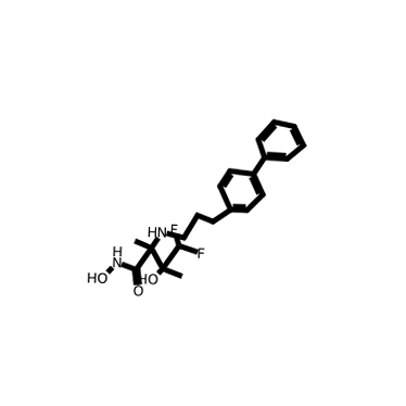 CC(NCCCc1ccc(-c2ccccc2)cc1)(C(=O)NO)C(C)(O)C(F)F